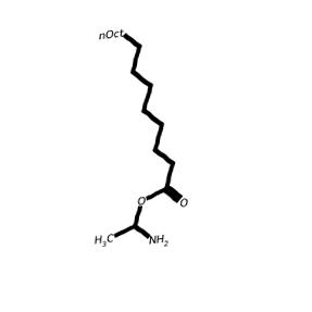 CCCCCCCCCCCCCCCC(=O)OC(C)N